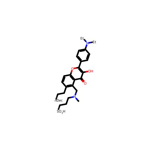 CCCCCCCCCCCCc1ccc2oc(-c3ccc(N(CC)CC)cc3)c(O)c(=O)c2c1CN(C)CCCS(=O)(=O)O